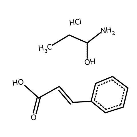 CCC(N)O.Cl.O=C(O)C=Cc1ccccc1